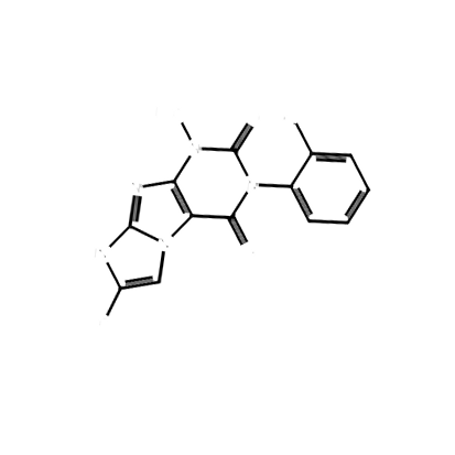 Cc1cn2c(nc3c2c(=O)n(-c2ccccc2Cl)c(=O)n3C)[nH]1